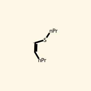 CCC/C=[C]\SCCC